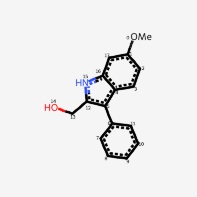 COc1ccc2c(-c3ccccc3)c(CO)[nH]c2c1